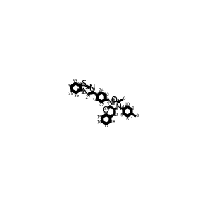 CC(=O)N(c1ccc(C)cc1)C(Cc1ccccc1)C(=O)Nc1ccc(-c2cn3c(n2)sc2ccccc23)cc1